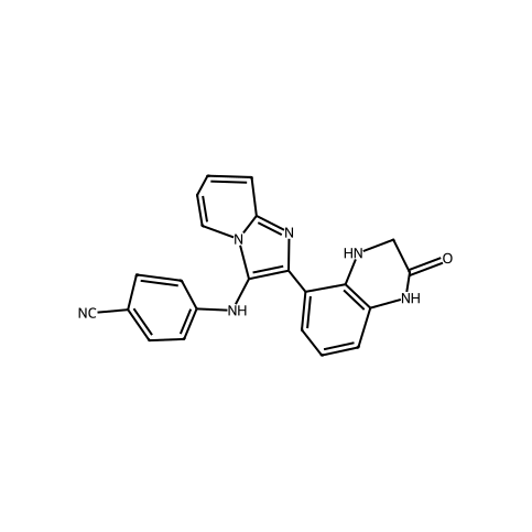 N#Cc1ccc(Nc2c(-c3cccc4c3NCC(=O)N4)nc3ccccn23)cc1